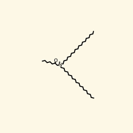 CCCCCCCCCCCCCCCCCC[N+](C)(CCCCCCCCCCCCCCCCCC)CC(=O)CCCCC